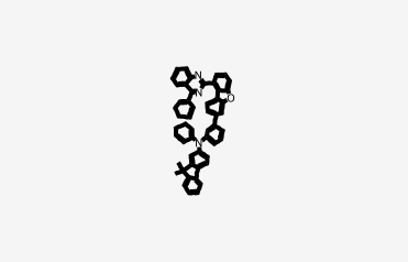 CC1(C)c2ccccc2-c2ccc(N(C3=CCCC=C3)c3cccc(-c4ccc5c(c4)oc4cccc(-c6nc(C7=CCCC=C7)c7ccccc7n6)c45)c3)cc21